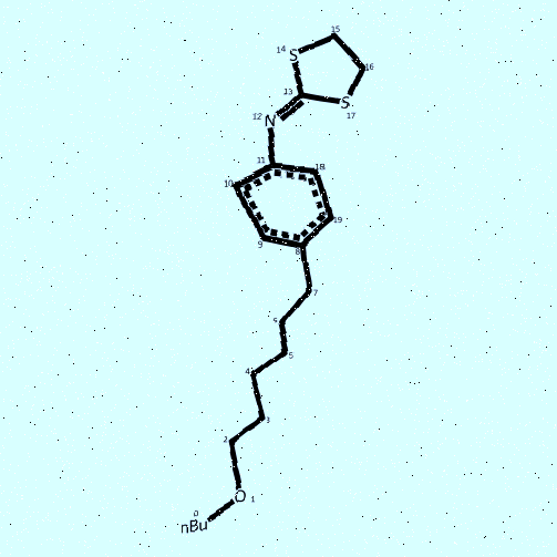 CCCCOCCCCCCc1ccc(N=C2SCCS2)cc1